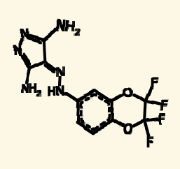 NC1=NN=C(N)C1=NNc1ccc2c(c1)OC(F)(F)C(F)(F)O2